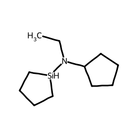 CCN(C1CCCC1)[SiH]1CCCC1